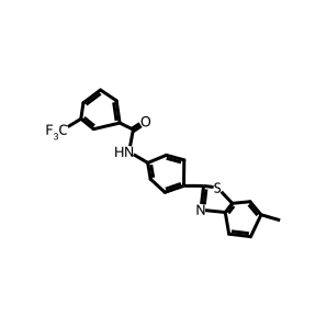 Cc1ccc2nc(-c3ccc(NC(=O)c4cccc(C(F)(F)F)c4)cc3)sc2c1